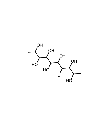 CC(O)C(O)C(O)C(O)C(O)C(O)C(O)C(C)O